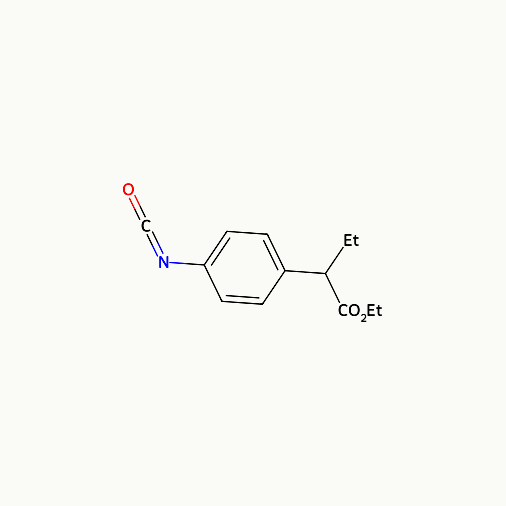 CCOC(=O)C(CC)c1ccc(N=C=O)cc1